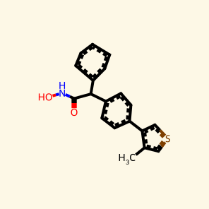 Cc1cscc1-c1ccc(C(C(=O)NO)c2ccccc2)cc1